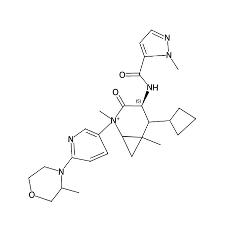 CC1COCCN1c1ccc([N+]2(C)C(=O)[C@@H](NC(=O)c3ccnn3C)C(C3CCC3)C3(C)CC32)cn1